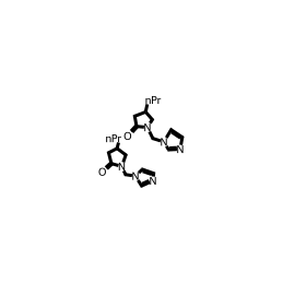 CCCC1CC(=O)N(Cn2ccnc2)C1.CCCC1CC(=O)N(Cn2ccnc2)C1